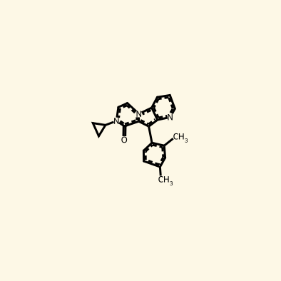 Cc1ccc(-c2c3ncccc3n3ccn(C4CC4)c(=O)c23)c(C)c1